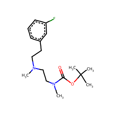 CN(CCc1cccc(F)c1)CCN(C)C(=O)OC(C)(C)C